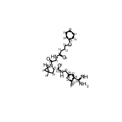 C[C@@]12C[C@@H]1N(C(=O)CNC(=O)CCCOc1ccccc1)[C@H](C(=O)NCc1cc(C(=N)N)c(F)s1)C2